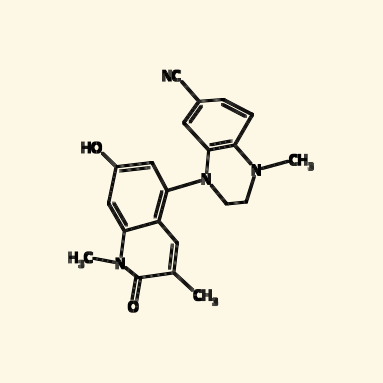 Cc1cc2c(N3CCN(C)c4ccc(C#N)cc43)cc(O)cc2n(C)c1=O